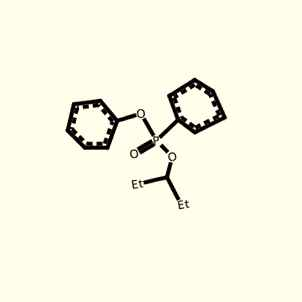 CCC(CC)OP(=O)(Oc1ccccc1)c1ccccc1